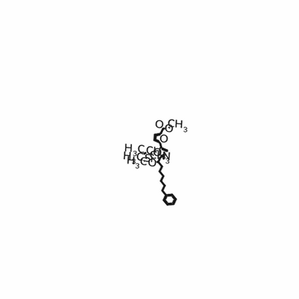 COC(=O)c1ccc(-c2cnc(C(CCCCCCc3ccccc3)O[Si](C)(C)C(C)(C)C)o2)o1